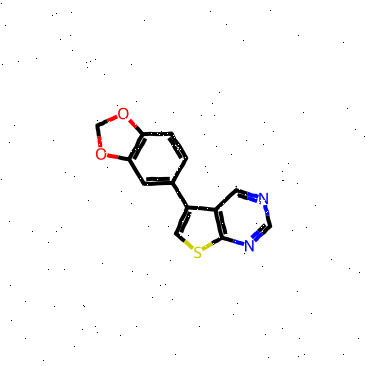 [c]1ncnc2scc(-c3ccc4c(c3)OCO4)c12